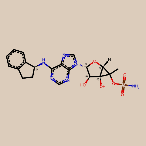 CC1(OS(N)(=O)=O)[C@H]2O[C@@H](n3cnc4c(N[C@H]5CCc6ccccc65)ncnc43)[C@H](O)[C@]21O